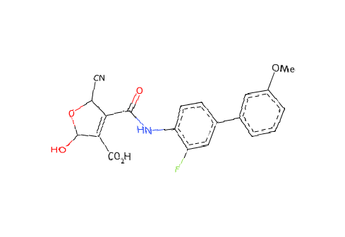 COc1cccc(-c2ccc(NC(=O)C3=C(C(=O)O)C(O)OC3C#N)c(F)c2)c1